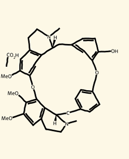 CC(=O)O.COc1cc2c3cc1Oc1c(OC)c(OC)cc4c1[C@H](Cc1ccc(cc1)Oc1cc(ccc1O)C[C@H]3N(C)CC2)N(C)CC4